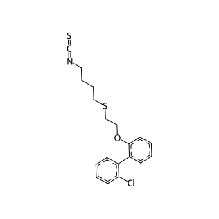 S=C=NCCCCSCCOc1ccccc1-c1ccccc1Cl